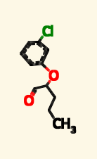 CCCC(C=O)Oc1cccc(Cl)c1